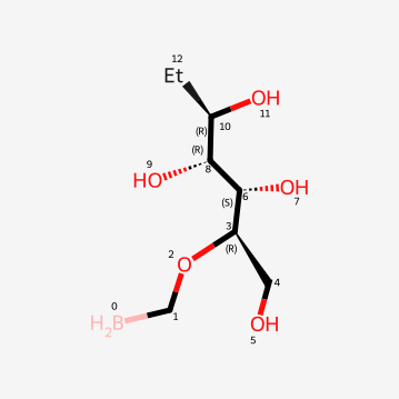 BCO[C@H](CO)[C@@H](O)[C@H](O)[C@H](O)CC